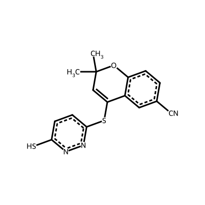 CC1(C)C=C(Sc2ccc(S)nn2)c2cc(C#N)ccc2O1